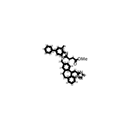 COC(=O)CCc1nc2c(C)cc(-c3ccccc3)cc2n1Cc1ccc2c(c1)CCc1ccccc1C2=Cc1nnn[nH]1